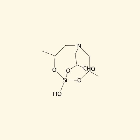 CC1CN2CC(C)O[Si](O)(O1)OC(C=O)C2